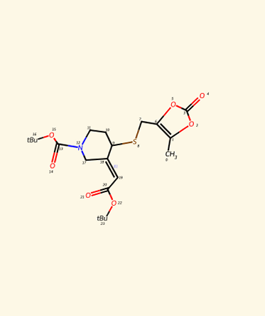 Cc1oc(=O)oc1CSC1CCN(C(=O)OC(C)(C)C)C/C1=C\C(=O)OC(C)(C)C